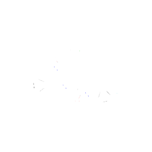 Cl.O=C(CC1CC1)N1CC(CN2CCC3(CC2)CCN(Cc2ccc(F)cc2)C3=O)C(c2ccccc2)C1